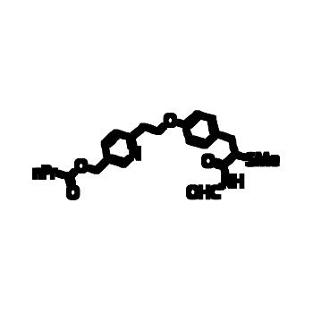 CCCC(=O)OCc1ccc(CCOc2ccc(CC(SC)C(=O)NC=O)cc2)nc1